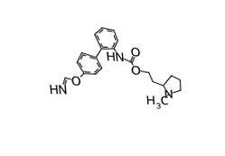 CN1CCCC1CCOC(=O)Nc1ccccc1-c1ccc(OC=N)cc1